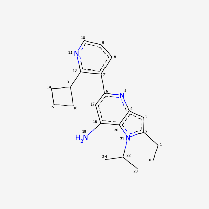 CCc1cc2nc(-c3cccnc3C3CCC3)cc(N)c2n1C(C)C